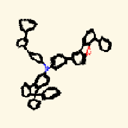 c1ccc(-c2cccc(-c3ccc(N(c4ccc(-c5ccc6oc7c(-c8ccccc8)cccc7c6c5)cc4)c4ccc5c(c4)-c4ccccc4C5(c4ccccc4)c4ccccc4)cc3)c2)cc1